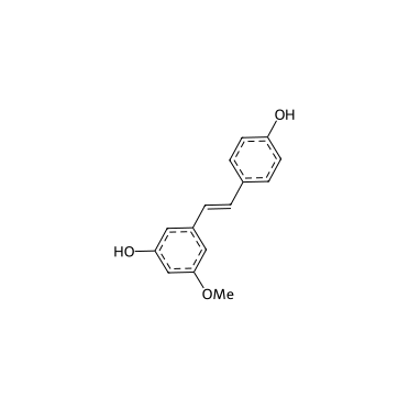 COc1cc(O)cc(C=Cc2ccc(O)cc2)c1